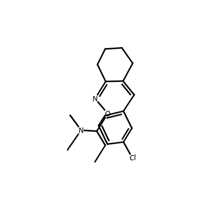 CCC(O/N=C1/CCCC/C1=C/c1cccc(Cl)c1)N(C)C